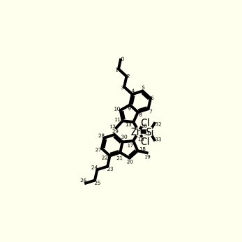 CCCCc1cccc2c1C=C(C)[CH]2[Zr]([Cl])([Cl])([CH]1C(C)=Cc2c(CCCC)cccc21)=[Si](C)C